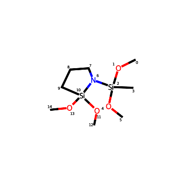 CO[Si](C)(OC)N1CCC[Si]1(OC)OC